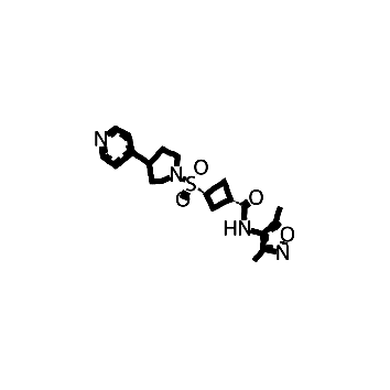 Cc1noc(C)c1NC(=O)[C@H]1C[C@@H](S(=O)(=O)N2CCC(c3ccncc3)CC2)C1